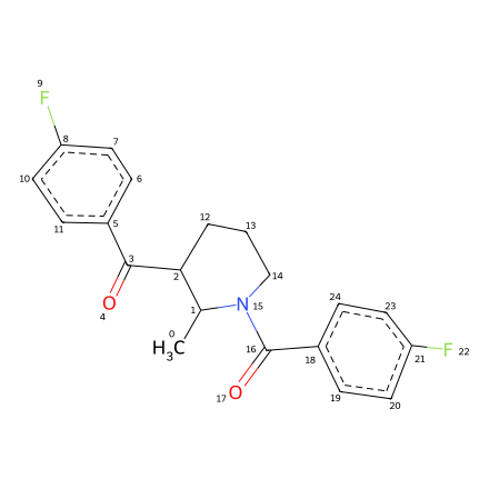 CC1C(C(=O)c2ccc(F)cc2)CCCN1C(=O)c1ccc(F)cc1